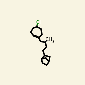 CC(CCC1CC2CCC1C2)CC1=CCCC(Cl)CC1